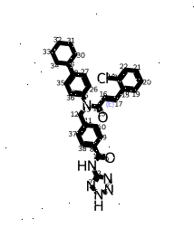 O=C(Nc1nn[nH]n1)c1ccc(CN(C(=O)/C=C/c2ccccc2Cl)c2ccc(C3CCCCC3)cc2)cc1